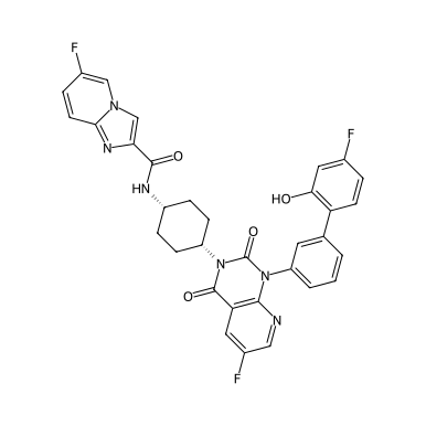 O=C(N[C@H]1CC[C@@H](n2c(=O)c3cc(F)cnc3n(-c3cccc(-c4ccc(F)cc4O)c3)c2=O)CC1)c1cn2cc(F)ccc2n1